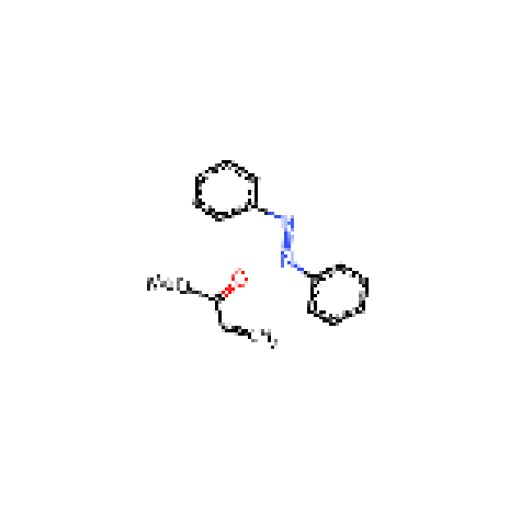 C=CC(=O)OC.c1ccc(N=Nc2ccccc2)cc1